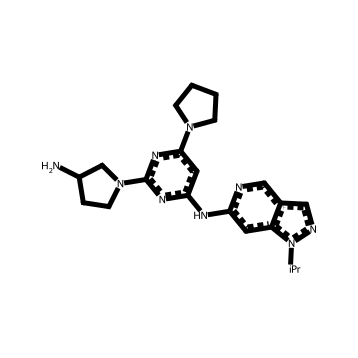 CC(C)n1ncc2cnc(Nc3cc(N4CCCC4)nc(N4CCC(N)C4)n3)cc21